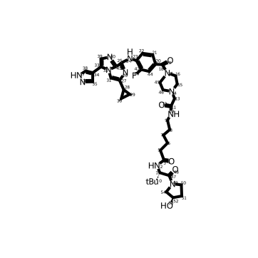 CC(C)(C)[C@H](NC(=O)CCCCCNC(=O)CN1CCN(C(=O)c2ccc(Nc3nc(C4CC4)cn4c(-c5cn[nH]c5)cnc34)c(F)c2)CC1)C(=O)N1CC[C@@H](O)C1